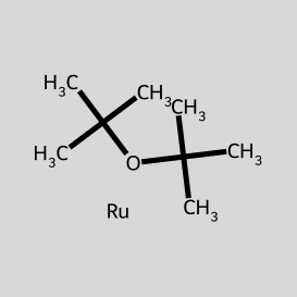 CC(C)(C)OC(C)(C)C.[Ru]